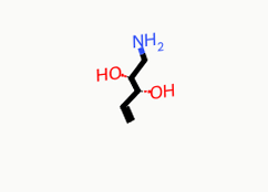 C=C[C@@H](O)[C@H](O)CN